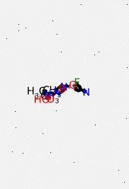 CC(C)(C)N(CCN1CC2CN(CCOc3ccc(C#N)cc3F)CC(C1)O2)C(=O)O